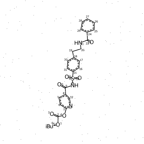 CC[C@H](C)OC(=O)Oc1ccc(C(=O)NS(=O)(=O)c2ccc(CCNC(=O)c3ccccc3)cc2)cn1